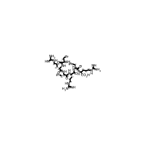 CC(C)C[C@H](NC(=O)[C@H](CCCNC(=N)N)NC(=O)[C@H](CC(C)C)NC(=O)[C@H](CCCNC(=N)N)NC(=O)[C@@H](N)CC(C)C)C(=O)N[C@@H](CCCNC(=N)N)C(=O)O